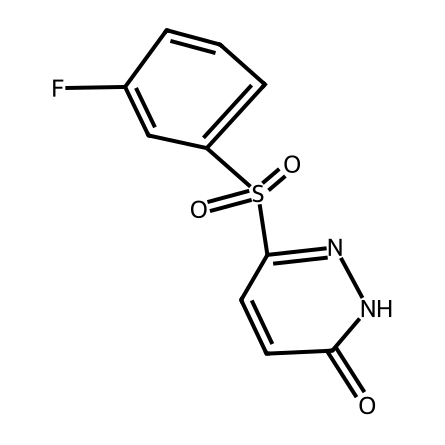 O=c1ccc(S(=O)(=O)c2cccc(F)c2)n[nH]1